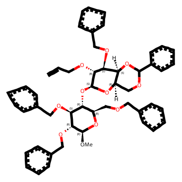 C=CCO[C@H]1[C@H](O[C@H]2[C@H](OCc3ccccc3)[C@@H](OCc3ccccc3)[C@H](OC)O[C@@H]2COCc2ccccc2)O[C@@H]2COC(c3ccccc3)O[C@@H]2[C@@H]1OCc1ccccc1